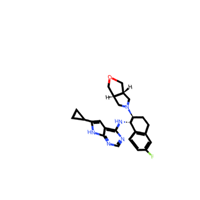 Fc1ccc2c(c1)CC[C@H](N1C[C@H]3COC[C@@H]3C1)[C@H]2Nc1ncnc2[nH]c(C3CC3)cc12